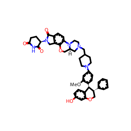 COc1cc(N2CCC(CN3CCN4c5ccc6c(c5OC[C@@H]4C3)CN([C@@H]3CCC(=O)NC3=O)C6=O)CC2)ccc1[C@H]1c2ccc(O)cc2OC[C@H]1c1ccccc1